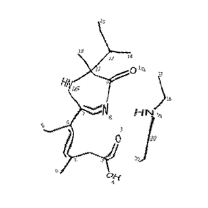 CC(C(=O)O)=C(C)C1=NC(=O)C(C)(C(C)C)N1.CCNCC